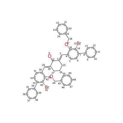 O=C1/C(=C/c2ccc(-c3ccccc3)c(Br)c2OCc2ccccc2)CCC/C1=C\c1ccc(-c2ccccc2)c(Br)c1OCc1ccccc1